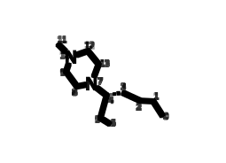 CCCC[C@H](CC)N1CCN(C)CC1